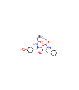 CC(C)(C)OC(=O)N[C@@H](Cc1ccccc1)[C@@H](O)CN(Cc1ccc(O)cc1)NC(=O)OC(C)(C)C